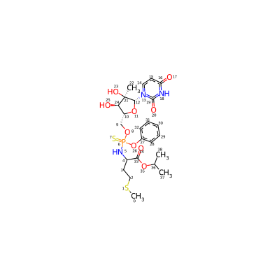 CSCCC(NP(=S)(OC[C@H]1O[C@@H](n2ccc(=O)[nH]c2=O)[C@](C)(O)[C@@H]1O)Oc1ccccc1)C(=O)OC(C)C